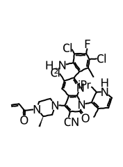 C=CC(=O)N1CCN(c2c(C#N)c(=O)n(C3=C(C)C=CNC3C(C)C)c3nc(-c4c(C)c(Cl)c(F)c(Cl)c4N)c(Cl)cc23)C[C@H]1C